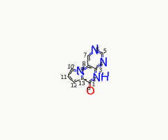 O=c1[nH]c2ncncc2n2cccc12